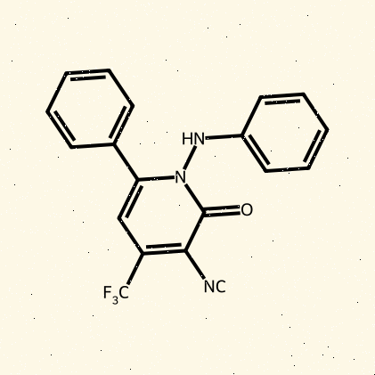 [C-]#[N+]c1c(C(F)(F)F)cc(-c2ccccc2)n(Nc2ccccc2)c1=O